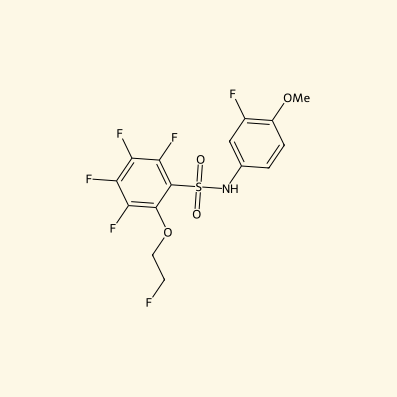 COc1ccc(NS(=O)(=O)c2c(F)c(F)c(F)c(F)c2OCCF)cc1F